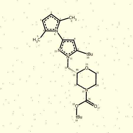 Cc1ccc(C)n1-c1cc(C(C)(C)C)n(C[C@H]2CN(C(=O)OC(C)(C)C)CCO2)n1